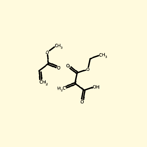 C=C(C(=O)O)C(=O)OCC.C=CC(=O)OC